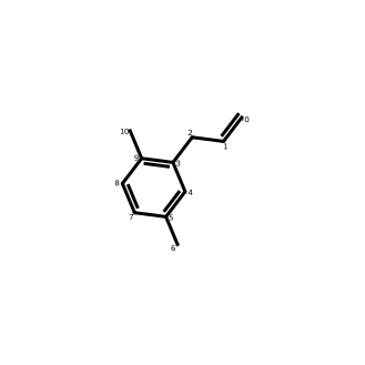 [CH]=CCc1cc(C)ccc1C